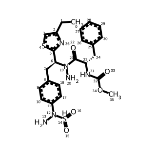 CCc1csc([C@H](Cc2ccc(N(N)[SH](=O)=O)cc2)N(N)C(=O)[C@H](Cc2ccccc2)NC(=O)OC)n1